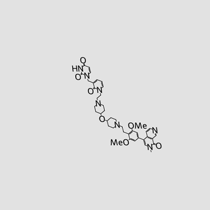 COc1cc(-c2cn(C)c(=O)c3cnccc23)cc(OC)c1CCN1CCC(OC2CCN(CCn3cccc(Cn4ccc(=O)[nH]c4=O)c3=O)CC2)CC1